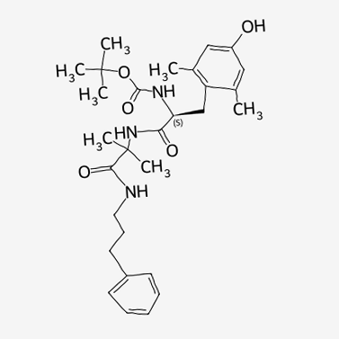 Cc1cc(O)cc(C)c1C[C@H](NC(=O)OC(C)(C)C)C(=O)NC(C)(C)C(=O)NCCCc1ccccc1